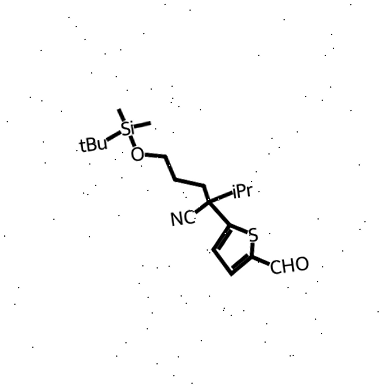 CC(C)C(C#N)(CCCO[Si](C)(C)C(C)(C)C)c1ccc(C=O)s1